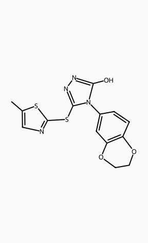 Cc1cnc(Sc2nnc(O)n2-c2ccc3c(c2)OCCO3)s1